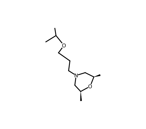 CC(C)OCCCN1C[C@@H](C)O[C@@H](C)C1